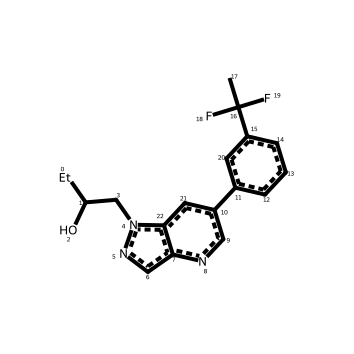 CCC(O)Cn1ncc2ncc(-c3cccc(C(C)(F)F)c3)cc21